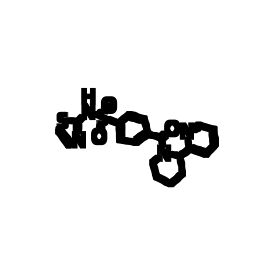 O=C(c1ccc(S(=O)(=O)Nc2nccs2)cc1)N1CCCCC1c1ccccn1